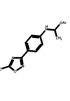 CC(=O)OC(C)Nc1ccc(-c2noc(C)n2)cc1